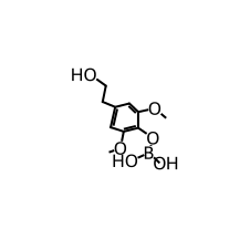 COc1cc(CCO)cc(OC)c1OB(O)O